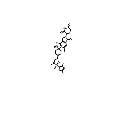 Cc1nc(C)c(S(=O)(=O)N(C)CCN2CCC(O)(c3c(F)cc4c(c3F)CN(C3CCC(=O)NC3=O)C4=O)CC2)s1